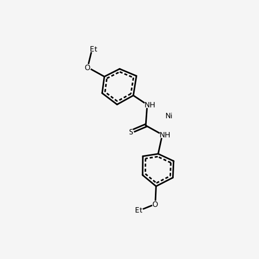 CCOc1ccc(NC(=S)Nc2ccc(OCC)cc2)cc1.[Ni]